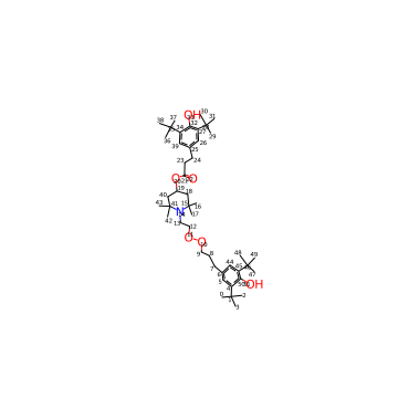 CC(C)(C)c1cc(CCCOOCCN2C(C)(C)CC(OC(=O)CCc3cc(C(C)(C)C)c(O)c(C(C)(C)C)c3)CC2(C)C)cc(C(C)(C)C)c1O